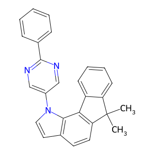 CC1(C)c2ccccc2-c2c1ccc1ccn(-c3cnc(-c4ccccc4)nc3)c21